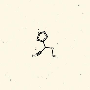 C#CC(ON)c1ccsc1